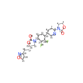 O=C1OCCN1c1ccc(-c2ccc(N3C[C@H](CCc4ccon4)OC3=O)c(F)c2F)cn1